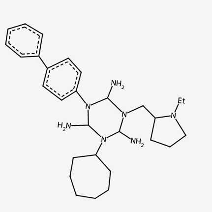 CCN1CCCC1CN1C(N)N(c2ccc(-c3ccccc3)cc2)C(N)N(C2CCCCCC2)C1N